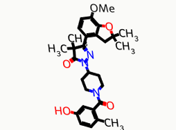 COc1ccc(C2=NN(C3CCN(C(=O)c4cc(O)ccc4C)CC3)C(=O)C2(C)C)c2c1OC(C)(C)C2